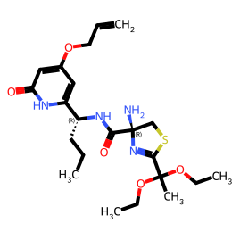 C=CCOc1cc([C@@H](CCC)NC(=O)[C@]2(N)CSC(C(C)(OCC)OCC)=N2)[nH]c(=O)c1